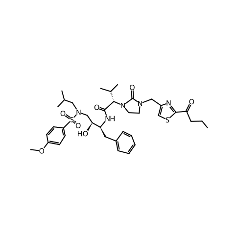 CCCC(=O)c1nc(CN2CCN([C@H](C(=O)N[C@@H](Cc3ccccc3)[C@@H](O)CN(CC(C)C)S(=O)(=O)c3ccc(OC)cc3)C(C)C)C2=O)cs1